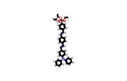 CCO[Si](OCC)(OCC)c1ccc(/C=C/c2ccc(/C=C/c3ccc(N(c4ccccc4)c4ccccc4)cc3)cc2)cc1